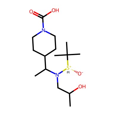 CC(O)CN(C(C)C1CCN(C(=O)O)CC1)[S@@+]([O-])C(C)(C)C